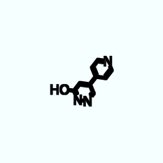 Oc1cc(-c2ccncc2)cnn1